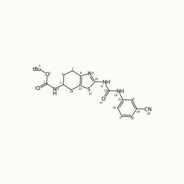 CC(C)(C)OC(=O)NC1CCc2nc(NC(=O)Nc3cccc(C#N)c3)sc2C1